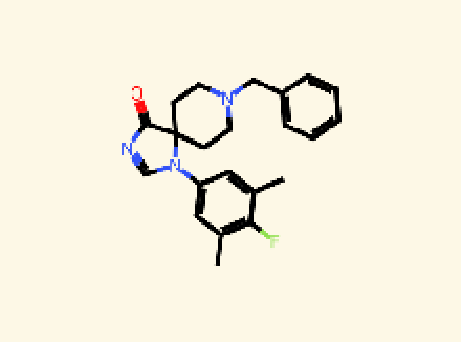 Cc1cc(N2C=NC(=O)C23CCN(Cc2ccccc2)CC3)cc(C)c1F